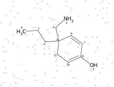 CCCC1(CN)C=CC(O)=CC1